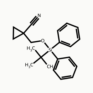 CC(C)(C)[Si](OCC1(C#N)CC1)(c1ccccc1)c1ccccc1